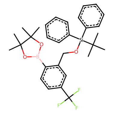 CC1(C)OB(c2ccc(C(F)(F)F)cc2CO[Si](c2ccccc2)(c2ccccc2)C(C)(C)C)OC1(C)C